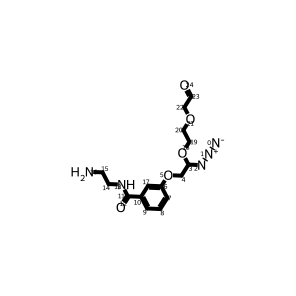 [N-]=[N+]=NC(COc1cccc(C(=O)NCCN)c1)OCCOCC=O